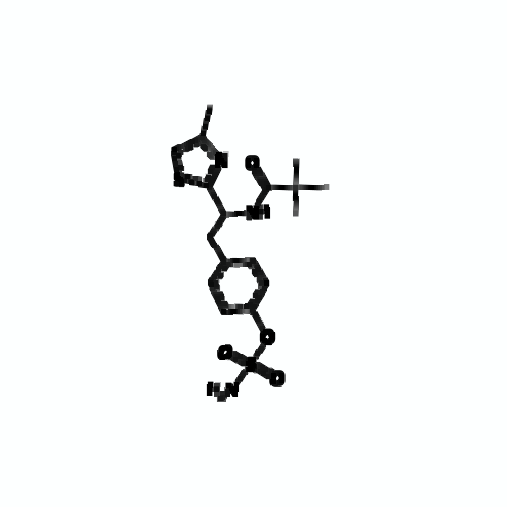 Cc1csc(C(Cc2ccc(OS(N)(=O)=O)cc2)NC(=O)C(C)(C)C)n1